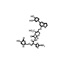 Nc1nc(/C(=N/OCc2nc(=O)c(O)c[nH]2)C(=O)N[C@@H]2C(=O)N3C(C(=O)O)=C(CSc4cc(-c5ccc(O)c(O)c5)nc5ccnn45)CS[C@H]23)cs1